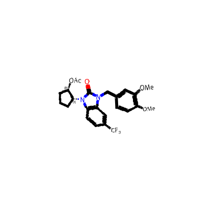 COc1ccc(Cn2c(=O)n([C@@H]3CCC[C@H]3OC(C)=O)c3ccc(C(F)(F)F)cc32)cc1OC